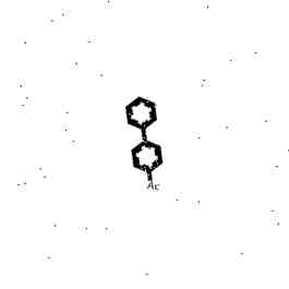 CC(=O)c1ccc(-c2c[c]ccc2)cc1